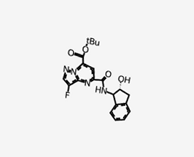 CC(C)(C)OC(=O)c1cc(C(=O)NC2c3ccccc3C[C@H]2O)nc2c(F)cnn12